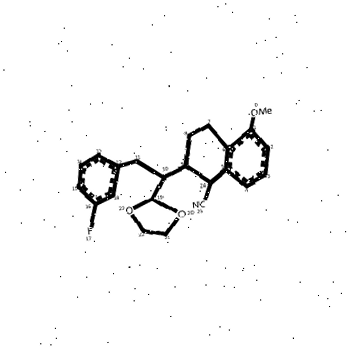 COc1cccc2c1CCC(C(Cc1cccc(F)c1)C1OCCO1)C2C#N